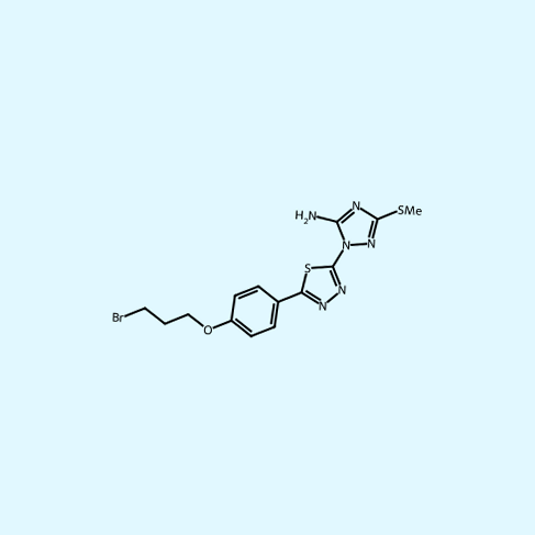 CSc1nc(N)n(-c2nnc(-c3ccc(OCCCBr)cc3)s2)n1